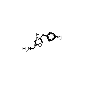 NC[C@H]1CN[C@@H](Cc2ccc(Cl)cc2)CO1